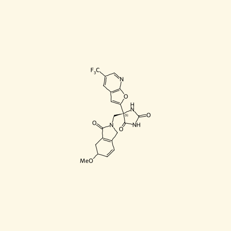 COC1C=CC2=C(C1)C(=O)N(C[C@@]1(c3cc4cc(C(F)(F)F)cnc4o3)NC(=O)NC1=O)C2